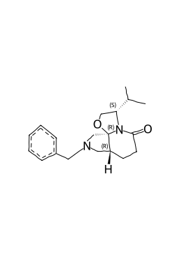 CC(C)[C@H]1CO[C@]23CCN(Cc4ccccc4)C[C@H]2CCC(=O)N13